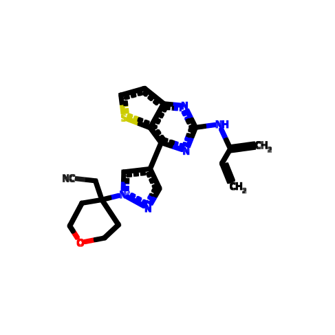 C=CC(=C)Nc1nc(-c2cnn(C3(CC#N)CCOCC3)c2)c2sccc2n1